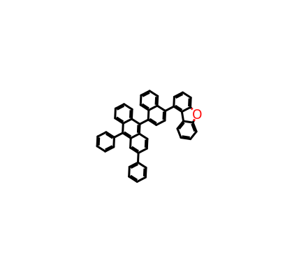 c1ccc(-c2ccc3c(-c4ccc(-c5cccc6oc7ccccc7c56)c5ccccc45)c4ccccc4c(-c4ccccc4)c3c2)cc1